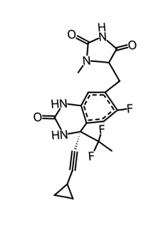 CN1C(=O)NC(=O)C1Cc1cc2c(cc1F)[C@@](C#CC1CC1)(C(C)(F)F)NC(=O)N2